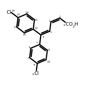 O=C(O)/C=C\C=C(c1ccc(Cl)cc1)c1ccc(Cl)cc1